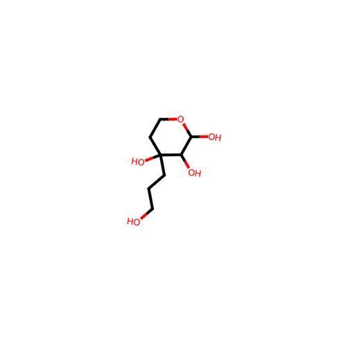 OCCCC1(O)CCOC(O)C1O